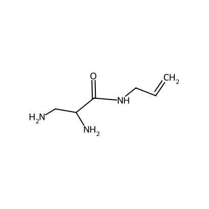 C=CCNC(=O)C(N)CN